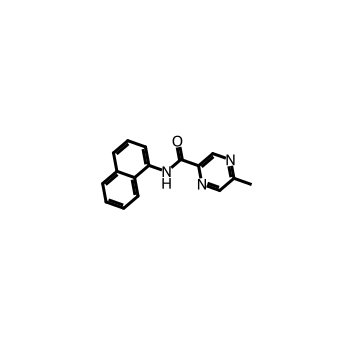 Cc1cnc(C(=O)Nc2cccc3ccccc23)cn1